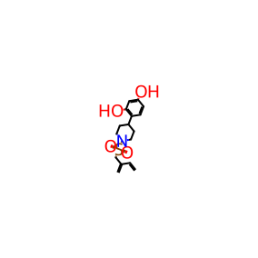 C=CC(=C)CS(=O)(=O)N1CCC(c2ccc(O)cc2O)CC1